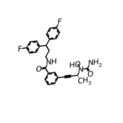 C[C@H](C#Cc1cccc(C(=O)NCCC(c2ccc(F)cc2)c2ccc(F)cc2)c1)N(O)C(N)=O